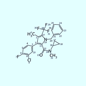 Cc1c(-c2ccc(F)c(Cl)c2)c(C(=O)N(C)C2CC2)n(Cc2ccccc2)c1C(F)(F)F